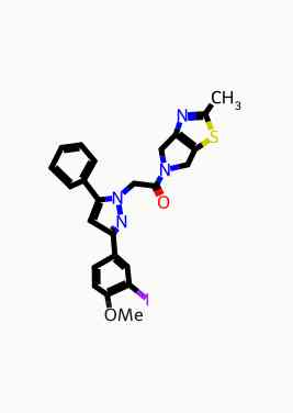 COc1ccc(-c2cc(-c3ccccc3)n(CC(=O)N3Cc4nc(C)sc4C3)n2)cc1I